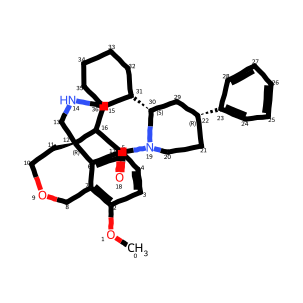 COc1cccc2c1COCC[C@]21CNCC1C(=O)N1CC[C@@H](c2ccccc2)C[C@H]1C1CCCCC1